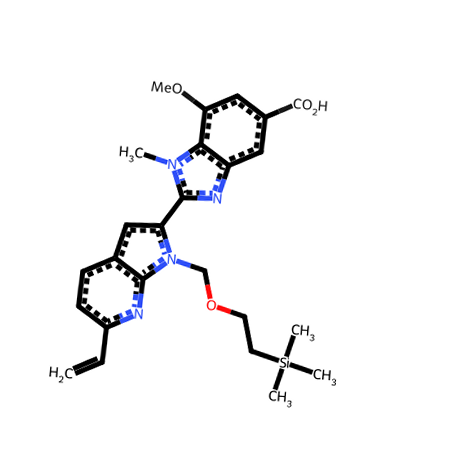 C=Cc1ccc2cc(-c3nc4cc(C(=O)O)cc(OC)c4n3C)n(COCC[Si](C)(C)C)c2n1